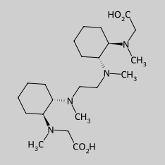 CN(CCN(C)[C@H]1CCCC[C@@H]1N(C)CC(=O)O)[C@@H]1CCCC[C@H]1N(C)CC(=O)O